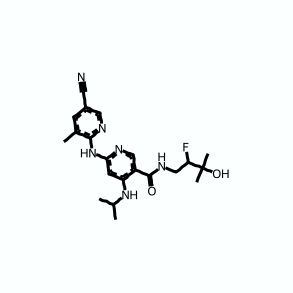 Cc1cc(C#N)cnc1Nc1cc(NC(C)C)c(C(=O)NCC(F)C(C)(C)O)cn1